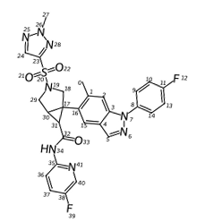 Cc1cc2c(cnn2-c2ccc(F)cc2)cc1C12CN(S(=O)(=O)c3cnn(C)n3)CC1C2C(=O)Nc1ccc(F)cn1